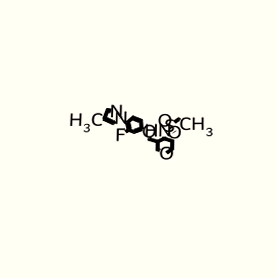 CCS(=O)(=O)NC1CCOCC1COc1ccc(-n2cc(C)cn2)c(F)c1